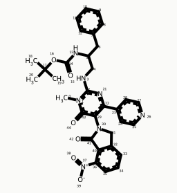 Cn1c(NCC(Cc2ccccc2)NC(=O)OC(C)(C)C)nc(-c2ccncc2)c(N2Cc3cccc([N+](=O)[O-])c3C2=O)c1=O